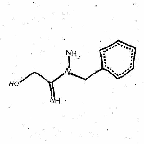 N=C(CO)N(N)Cc1ccccc1